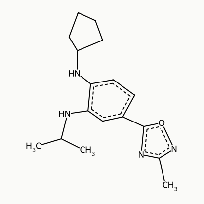 Cc1noc(-c2ccc(NC3CCCC3)c(NC(C)C)c2)n1